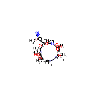 CO[C@@H]1C[C@@H]2CC[C@@H](C)[C@@](O)(O2)C(=O)C(=O)N2CCCC[C@H]2C(=O)O[C@H]([C@H](C)C[C@@H]2CC[C@@H](n3cnnn3)[C@H](OC)C2)CC(=O)[C@H](C)/C=C(\C)[C@@H](O)[C@@H](OC)C(=O)[C@H](C)C[C@H](C)/C=C/C=C/C=C/1C